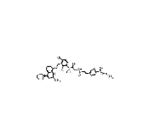 CCOC(=O)c1ccc(C=CC(=O)NCC(=O)N(C)c2ccc(Cl)c(COc3cccc4c(N5CCCCC5)cc(C)nc34)c2Cl)cn1